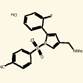 CNCc1cc(-c2ccccc2F)n(S(=O)(=O)c2ccc(C#N)cc2)c1.Cl